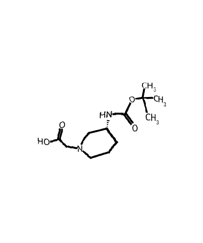 CC(C)(C)OC(=O)N[C@@H]1CCCN(CC(=O)O)C1